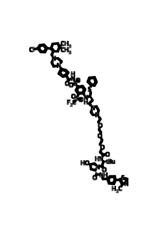 Cc1ncsc1-c1ccc(CNC(=O)[C@@H]2C[C@@H](O)CN2C(=O)[C@@H](NC(=O)COCCOCCOCCN2CCN(CC[C@H](CSc3ccccc3)Nc3ccc(S(=O)(=O)NC(=O)c4ccc(N5CCN(CC6=C(c7ccc(Cl)cc7)CCC(C)(C)C6)CC5)cc4)cc3S(=O)(=O)C(F)(F)F)CC2)C(C)(C)C)cc1